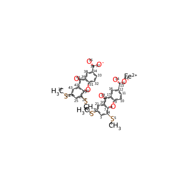 CSc1cc(SC)c2oc3ccc(C(=O)[O-])cc3c(=O)c2c1.CSc1cc(SC)c2oc3ccc(C(=O)[O-])cc3c(=O)c2c1.[Fe+2]